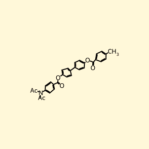 CC(=O)N(C(C)=O)c1ccc(C(=O)Oc2ccc(-c3ccc(OC(=O)c4ccc(C)cc4)cc3)cc2)cc1